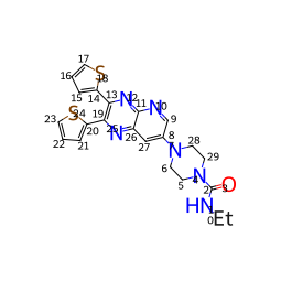 CCNC(=O)N1CCN(c2cnc3nc(-c4cccs4)c(-c4cccs4)nc3c2)CC1